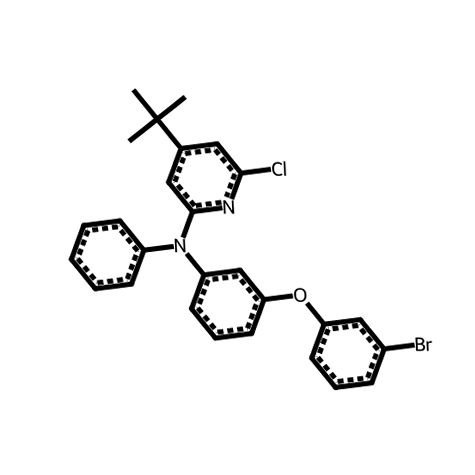 CC(C)(C)c1cc(Cl)nc(N(c2ccccc2)c2cccc(Oc3cccc(Br)c3)c2)c1